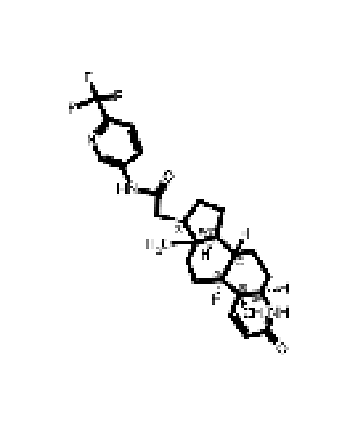 C[C@]12C=CC(=O)N[C@@H]1CC[C@@H]1[C@@H]2CC[C@]2(C)[C@@H](CC(=O)Nc3ccc(C(F)(F)F)nc3)CC[C@@H]12